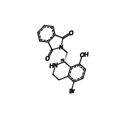 O=C1c2ccccc2C(=O)N1C[C@H]1NCCc2c(Br)ccc(O)c21